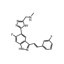 CNCc1nnc(-c2cc3c(C=Cc4cccc(F)c4)n[nH]c3cc2F)[nH]1